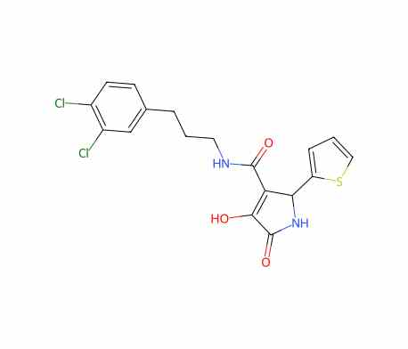 O=C1NC(c2cccs2)C(C(=O)NCCCc2ccc(Cl)c(Cl)c2)=C1O